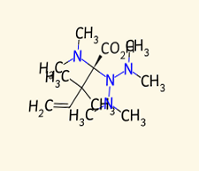 C=CC(C)(C)[C@](C(=O)O)(N(C)C)N(N(C)C)N(C)C